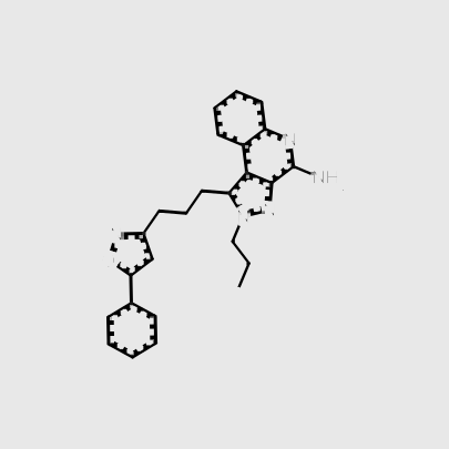 CCCn1nc2c(N)nc3ccccc3c2c1CCCc1cc(-c2ccccc2)on1